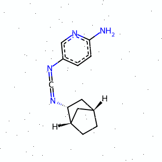 Nc1ccc(N=C=N[C@@H]2C[C@@H]3CC[C@H]2C3)cn1